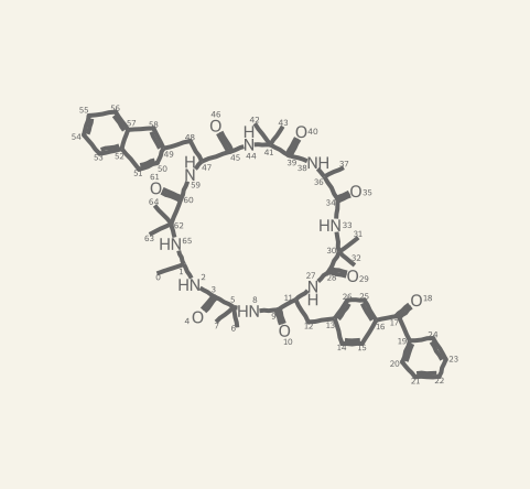 CC1NC(=O)C(C)(C)NC(=O)C(Cc2ccc(C(=O)c3ccccc3)cc2)NC(=O)C(C)(C)NC(=O)C(C)NC(=O)C(C)(C)NC(=O)C(Cc2ccc3ccccc3c2)NC(=O)C(C)(C)N1